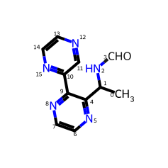 CC(NC=O)c1nccnc1-c1cnccn1